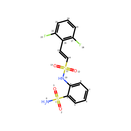 NS(=O)(=O)c1ccccc1NS(=O)(=O)C=Cc1c(F)cccc1F